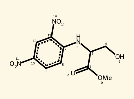 COC(=O)C(CO)Nc1ccc([N+](=O)[O-])cc1[N+](=O)[O-]